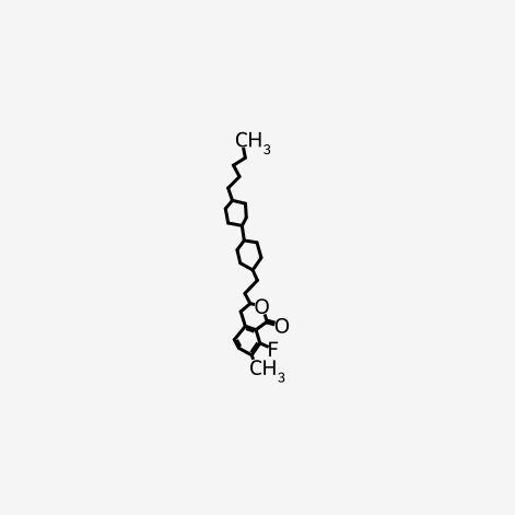 CCCCCC1CCC(C2CCC(CCC3Cc4ccc(C)c(F)c4C(=O)O3)CC2)CC1